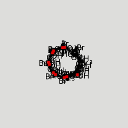 CC(O)C(O)C1OC(C(O)O)OC(CBr)C(C)OC2OC(CBr)C(OC3OC(CBr)C(OC4OC(CBr)C(OC5OC(CBr)C(OC6OC(CBr)C(OC7OC(CBr)C(OOC1CBr)C(O)C7O)C(O)C6O)C(O)C5O)C(O)C4O)C(O)C3O)C(O)C2O